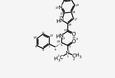 CN(C)C(=O)[C@H](Cc1ccccc1)NC(=O)c1cc2cccnc2[nH]1